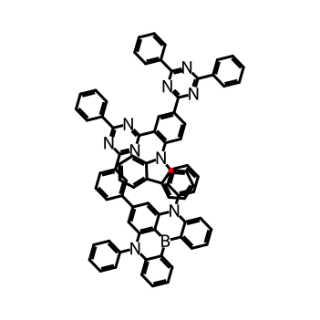 c1ccc(-c2nc(-c3ccccc3)nc(-c3ccc(-n4c5ccccc5c5ccccc54)c(-c4nc(-c5ccccc5)nc(-c5cccc(-c6cc7c8c(c6)N(c6ccccc6)c6ccccc6B8c6ccccc6N7c6ccccc6)c5)n4)c3)n2)cc1